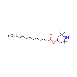 CCCCCCCCC=CCCCCCCCC(=O)OC1CC(C)(C)NC(C)(C)C1